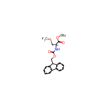 CC(C)(C)OC(=O)[C@H](CSC(F)(F)F)NC(=O)OCC1c2ccccc2-c2ccccc21